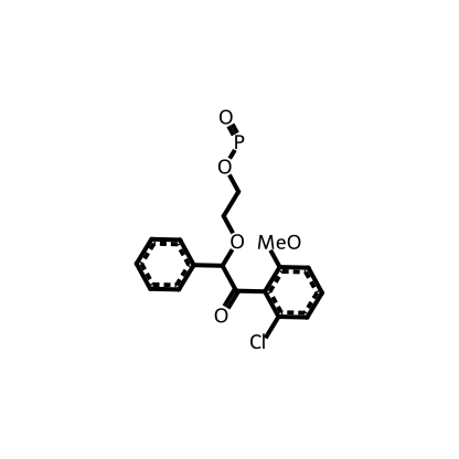 COc1cccc(Cl)c1C(=O)C(OCCOP=O)c1ccccc1